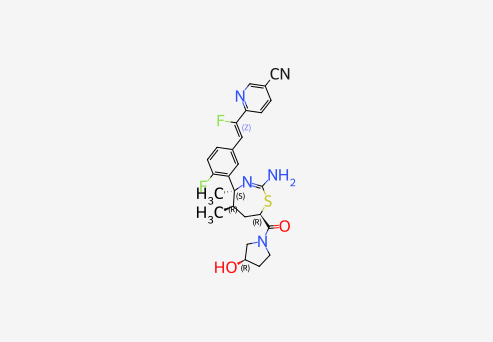 C[C@@H]1C[C@H](C(=O)N2CC[C@@H](O)C2)SC(N)=N[C@]1(C)c1cc(/C=C(\F)c2ccc(C#N)cn2)ccc1F